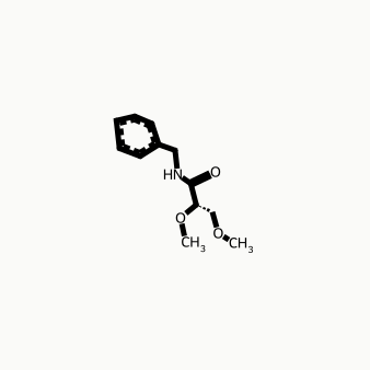 COC[C@H](OC)C(=O)NCc1ccccc1